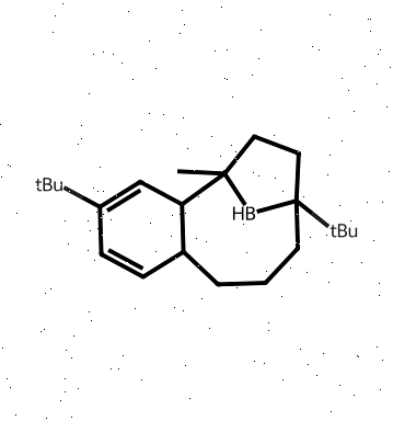 CC(C)(C)C1=CC2C(C=C1)CCCC1(C(C)(C)C)BC2(C)CC1